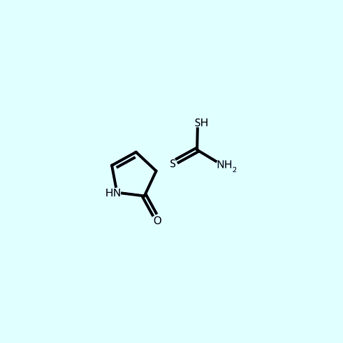 NC(=S)S.O=C1CC=CN1